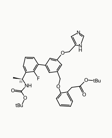 C[C@H](NC(=O)OC(C)(C)C)c1cccc(-c2cc(COc3ccccc3CC(=O)OC(C)(C)C)cc(OCc3cnc[nH]3)c2)c1F